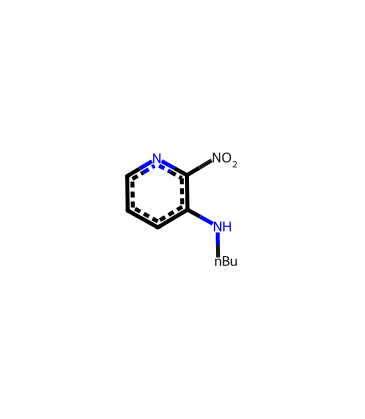 CCCCNc1cccnc1[N+](=O)[O-]